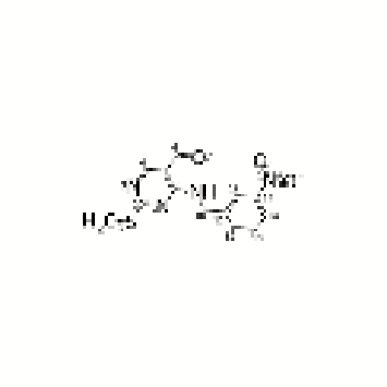 CSc1ncc(C=O)c(NCc2cccc([N+](=O)[O-])c2)n1